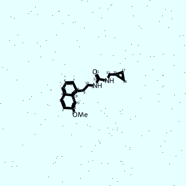 COc1ccc2cccc(CCNC(=O)NCC3CC3)c2c1